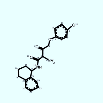 NC(C(=O)COc1ccc(Cl)cc1)C(=O)NC1CCCc2ccccc21